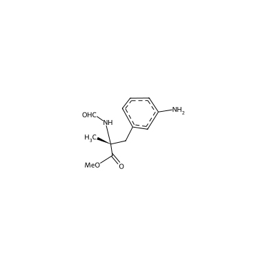 COC(=O)[C@@](C)(Cc1cccc(N)c1)NC=O